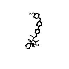 CN1CCN(Cc2ccc(-c3ccc(C[C@@H](C#N)N(C(=O)OC(C)(C)C)C(=O)C4(N)CCOCC4)cc3)cc2)CC1